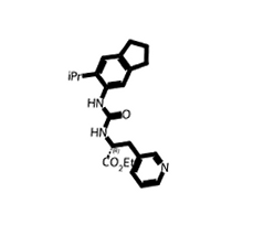 CCOC(=O)[C@@H](Cc1cccnc1)NC(=O)Nc1cc2c(cc1C(C)C)CCC2